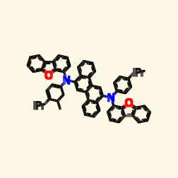 CC(C)C1=CC=C(N(c2cc3c4ccccc4c(N(c4ccc(C(C)C)cc4)c4cccc5c4oc4ccccc45)cc3c3ccccc23)c2cccc3c2oc2ccccc23)CC1C